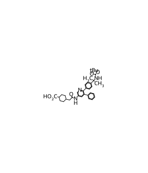 CC(C)(C)OC(=O)NC(C)(C)c1ccc(-c2ncc(NC(=O)CC3CCC(C(=O)O)CC3)cc2-c2ccccc2)cc1